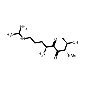 CN[C@H](C(=O)C(=O)[C@@H](N)CCCNC(N)N)[C@@H](C)O